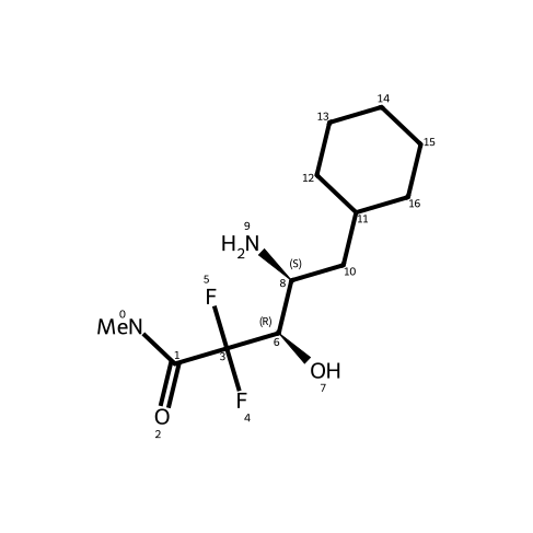 CNC(=O)C(F)(F)[C@H](O)[C@@H](N)CC1CCCCC1